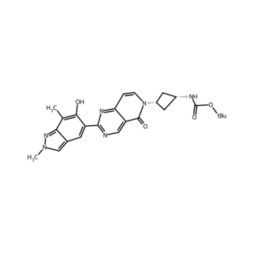 Cc1c(O)c(-c2ncc3c(=O)n([C@H]4C[C@@H](NC(=O)OC(C)(C)C)C4)ccc3n2)cc2cn(C)nc12